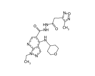 CCn1ncc2c(NC3CCOCC3)c(C(=O)NNC(=O)Cc3nonc3C)cnc21